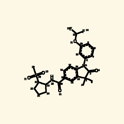 CC1(C)C(=O)N(c2cccc(OC(F)F)c2)c2ccc(C(=O)NC3CCCC3S(C)(=O)=O)cc21